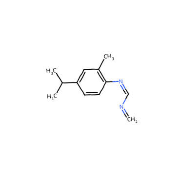 C=N/C=N\c1ccc(C(C)C)cc1C